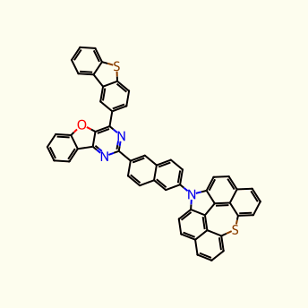 c1ccc2c(c1)oc1c(-c3ccc4sc5ccccc5c4c3)nc(-c3ccc4cc(-n5c6ccc7cccc8sc9cccc%10ccc5c(c%109)c6c78)ccc4c3)nc12